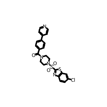 O=C(c1ccc(-c2ccncc2)cc1)N1CCN(S(=O)(=O)c2nc3ccc(Cl)cc3s2)CC1